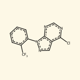 FC(F)(F)c1ccccc1-n1ncc2c(Cl)ncnc21